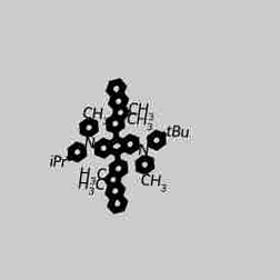 Cc1ccc(N(c2ccc(C(C)C)cc2)c2ccc3c(-c4ccc5c(c4)C(C)(C)c4cc6ccccc6cc4-5)c4cc(N(c5ccc(C)cc5)c5ccc(C(C)(C)C)cc5)ccc4c(-c4ccc5c(c4)C(C)(C)c4cc6ccccc6cc4-5)c3c2)cc1